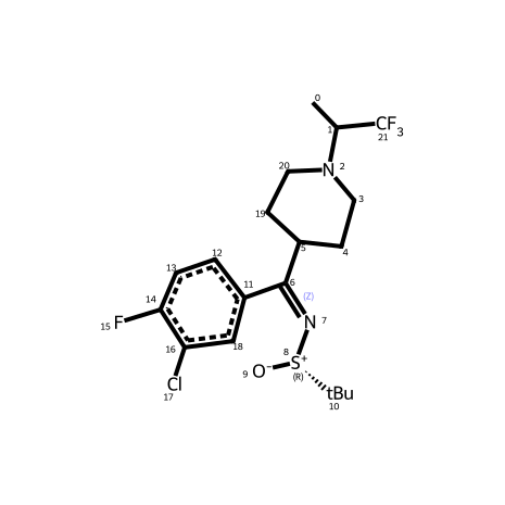 CC(N1CCC(/C(=N/[S@@+]([O-])C(C)(C)C)c2ccc(F)c(Cl)c2)CC1)C(F)(F)F